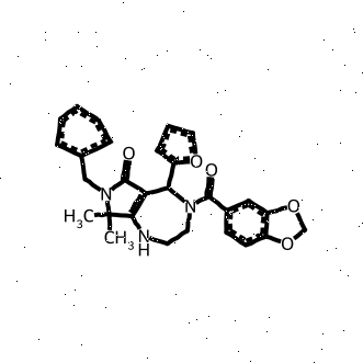 CC1(C)C2=C(C(=O)N1Cc1ccccc1)C(c1ccco1)N(C(=O)c1ccc3c(c1)OCO3)CCN2